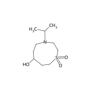 CC(C)N1CCC(O)CCS(=O)(=O)CC1